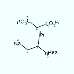 CCCCCCC([CH2][Na])C(C)C.O=C(O)CC(=O)O